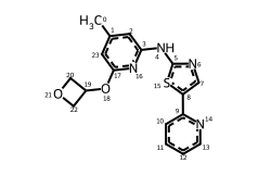 Cc1cc(Nc2ncc(-c3ccccn3)s2)nc(OC2COC2)c1